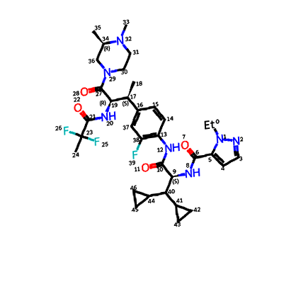 CCn1nccc1C(=O)N[C@H](C(=O)Nc1ccc([C@H](C)[C@@H](NC(=O)C(C)(F)F)C(=O)N2CCN(C)[C@H](C)C2)cc1F)C(C1CC1)C1CC1